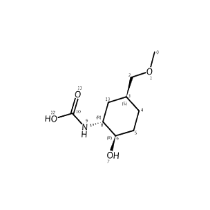 COC[C@H]1CC[C@@H](O)[C@H](NC(=O)O)C1